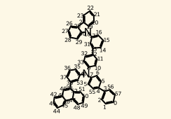 c1ccc(-c2ccc(N(c3ccc(-c4cccc(-n5c6ccccc6c6ccccc65)c4)cc3)c3cccc(-c4cc5ccccc5c5ccccc45)c3)cc2)cc1